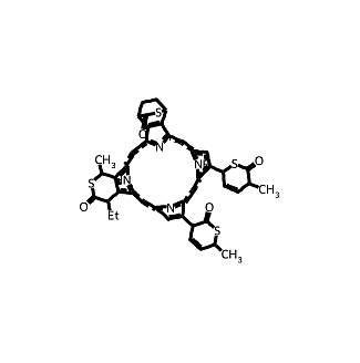 CCC1C(=O)SC(C)c2c1c1cc3nc(cc4[nH]c(cc5nc(cc2[nH]1)C1=C5C2CCC1C(=O)S2)cc4C1C=CC(C)C(=O)S1)C(C1C=CC(C)SC1=O)=C3